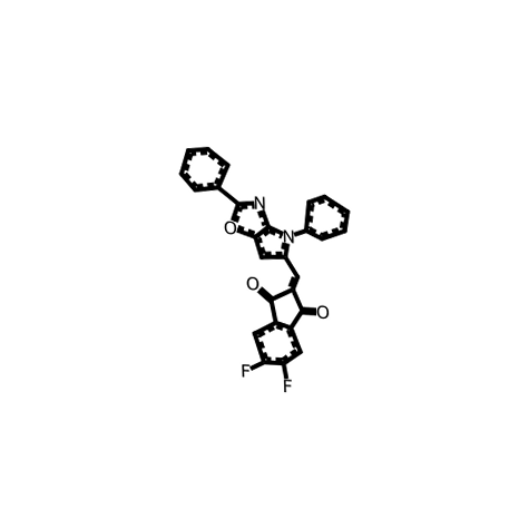 O=C1C(=Cc2cc3oc(-c4ccccc4)nc3n2-c2ccccc2)C(=O)c2cc(F)c(F)cc21